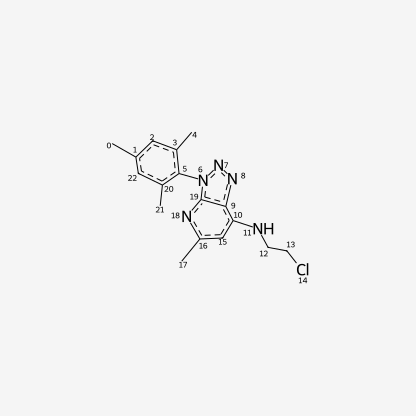 Cc1cc(C)c(-n2nnc3c(NCCCl)cc(C)nc32)c(C)c1